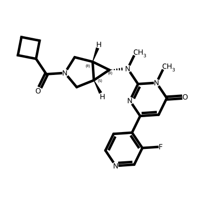 CN(c1nc(-c2ccncc2F)cc(=O)n1C)[C@@H]1[C@@H]2CN(C(=O)C3CCC3)C[C@@H]21